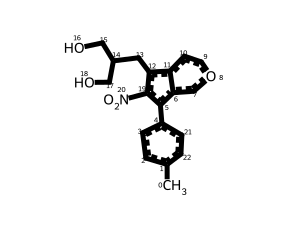 Cc1ccc(-c2c3coccc-3c(CC(CO)CO)c2[N+](=O)[O-])cc1